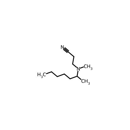 CCCCCC(C)N(C)CCC#N